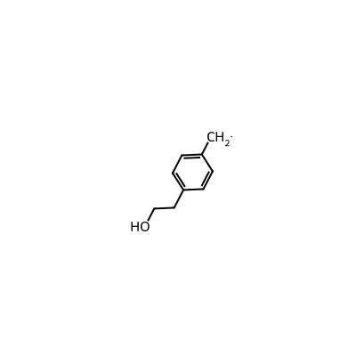 [CH2]c1ccc(CCO)cc1